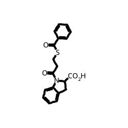 O=C(SCCC(=O)N1c2ccccc2CC1C(=O)O)c1ccccc1